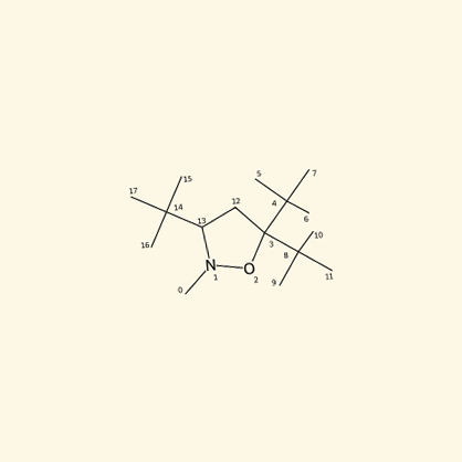 CN1OC(C(C)(C)C)(C(C)(C)C)CC1C(C)(C)C